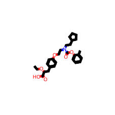 CCOC(Cc1ccc(OCCN(CCC2CCCC2)C(=O)Oc2ccccc2C)cc1)C(=O)O